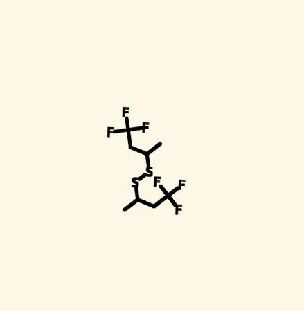 CC(CC(F)(F)F)SSC(C)CC(F)(F)F